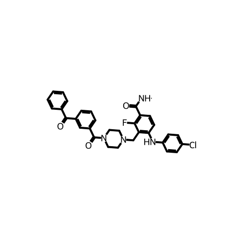 [NH]C(=O)c1ccc(Nc2ccc(Cl)cc2)c(CN2CCN(C(=O)c3cccc(C(=O)c4ccccc4)c3)CC2)c1F